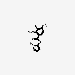 CCn1nccc1OC(=O)c1ccc(C(F)(F)F)c(C)c1OC